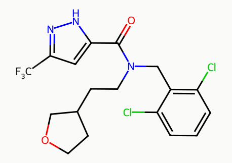 O=C(c1cc(C(F)(F)F)n[nH]1)N(CCC1CCOC1)Cc1c(Cl)cccc1Cl